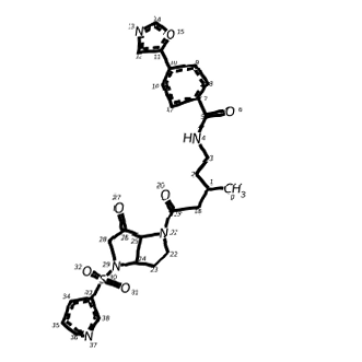 CC(CCNC(=O)c1ccc(-c2cnco2)cc1)CC(=O)N1CCC2C1C(=O)CN2S(=O)(=O)c1cccnc1